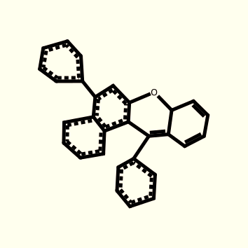 C1=CC2=C(c3ccccc3)c3c(cc(-c4ccccc4)c4ccccc34)OC2C=C1